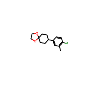 Cc1cc(C2CCC3(CC2)OCCO3)ccc1F